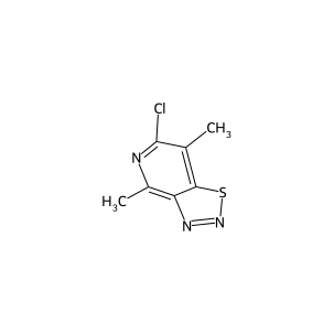 Cc1nc(Cl)c(C)c2snnc12